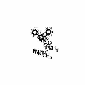 CN(CCN(C)C(=O)Cn1nc(-c2ccccc2)c2c(Cl)c(-c3ccccc3)nnc21)CN=[N+]=[N-]